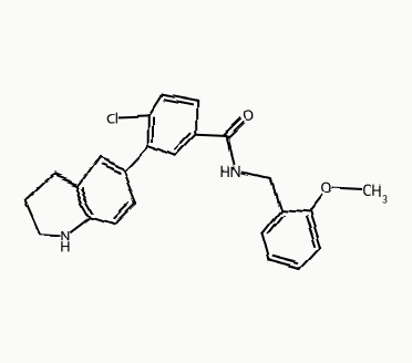 COc1ccccc1CNC(=O)c1ccc(Cl)c(-c2ccc3c(c2)CCCN3)c1